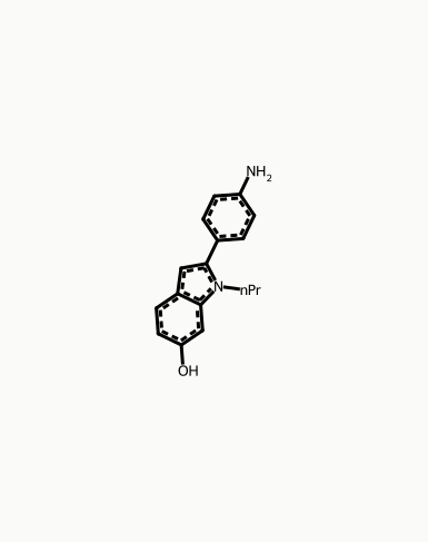 CCCn1c(-c2ccc(N)cc2)cc2ccc(O)cc21